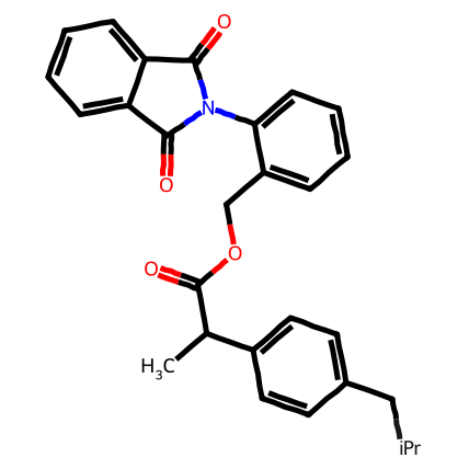 CC(C)Cc1ccc(C(C)C(=O)OCc2ccccc2N2C(=O)c3ccccc3C2=O)cc1